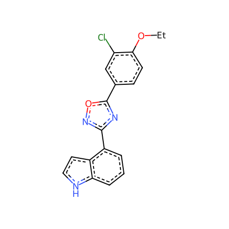 CCOc1ccc(-c2nc(-c3cccc4[nH]ccc34)no2)cc1Cl